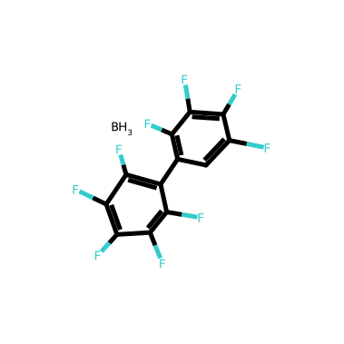 B.Fc1cc(-c2c(F)c(F)c(F)c(F)c2F)c(F)c(F)c1F